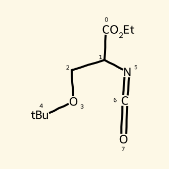 CCOC(=O)C(COC(C)(C)C)N=C=O